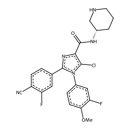 COc1ccc(-n2c(-c3ccc(C#N)c(F)c3)nc(C(=O)N[C@H]3CCCNC3)c2Cl)cc1F